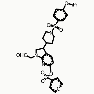 CC(C)Oc1ccc(S(=O)(=O)N2CCC(C3CN(CC=O)c4nc(OS(=O)(=O)c5ccccc5)ccc43)CC2)cc1